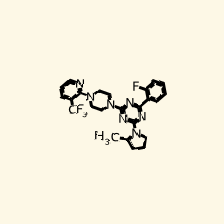 CC1CCCN1c1nc(-c2ccccc2F)nc(N2CCN(c3ncccc3C(F)(F)F)CC2)n1